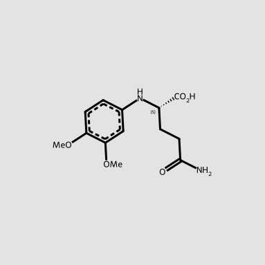 COc1ccc(N[C@@H](CCC(N)=O)C(=O)O)cc1OC